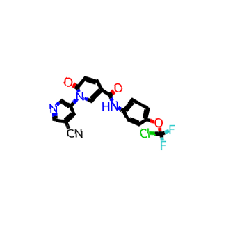 N#Cc1cncc(-n2cc(C(=O)Nc3ccc(OC(F)(F)Cl)cc3)ccc2=O)c1